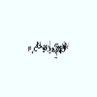 Cc1noc(Cn2c(=O)c3c(n(C)c2=O)NCN3CC(=O)Nc2csc(-c3cnc(C)c(C(F)(F)F)c3)n2)n1